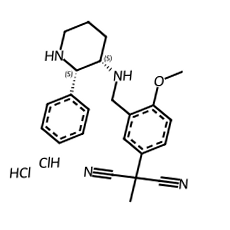 COc1ccc(C(C)(C#N)C#N)cc1CN[C@H]1CCCN[C@H]1c1ccccc1.Cl.Cl